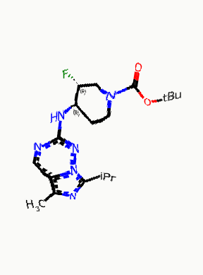 Cc1nc(C(C)C)n2nc(N[C@@H]3CCN(C(=O)OC(C)(C)C)C[C@H]3F)ncc12